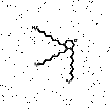 CCCCCCCCN1CCCN(CCCCCCCC)N1CCCCCCCC.[Cr]